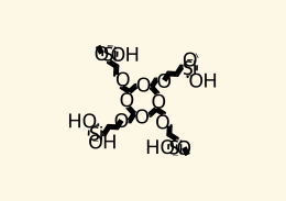 CO[Si](C)(O)CCCOCC1COC(COCCC[Si](C)(O)CO)COC(COCCC[Si](C)(O)OC)COC(COCCC[Si](C)(CO)OC)CO1